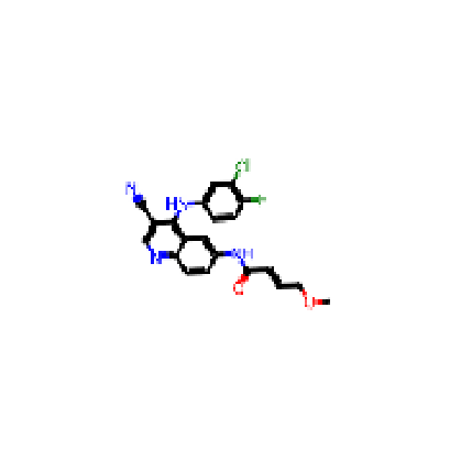 COCC=CC(=O)Nc1ccc2ncc(C#N)c(Nc3ccc(F)c(Cl)c3)c2c1